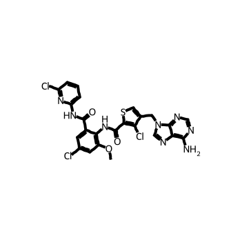 COc1cc(Cl)cc(C(=O)Nc2cccc(Cl)n2)c1NC(=O)c1scc(Cn2cnc3c(N)ncnc32)c1Cl